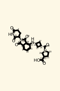 O=C1CCC(N2C(=O)c3cccc(N[C@H]4C[C@@H](C(=O)N5CCC(C(=O)O)C5)C4)c3C2=O)C(=O)N1